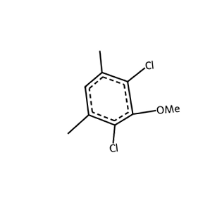 COc1c(Cl)c(C)cc(C)c1Cl